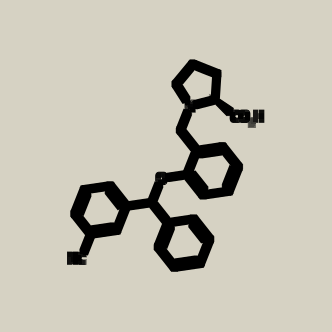 N#Cc1cccc(C(Oc2ccccc2CN2CCC[C@H]2C(=O)O)c2ccccc2)c1